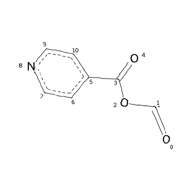 O=[C]OC(=O)c1ccncc1